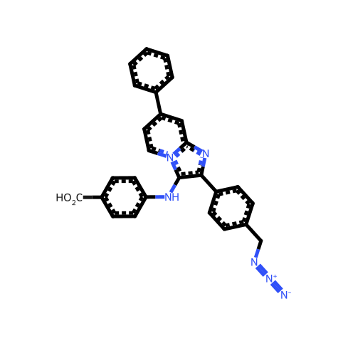 [N-]=[N+]=NCc1ccc(-c2nc3cc(-c4ccccc4)ccn3c2Nc2ccc(C(=O)O)cc2)cc1